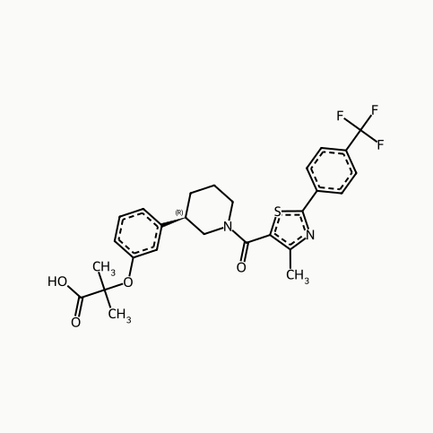 Cc1nc(-c2ccc(C(F)(F)F)cc2)sc1C(=O)N1CCC[C@H](c2cccc(OC(C)(C)C(=O)O)c2)C1